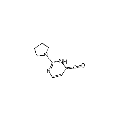 O=C=C1C=CN=C(N2CCCC2)N1